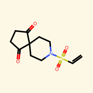 C=CS(=O)(=O)N1CCC2(CC1)C(=O)CCC2=O